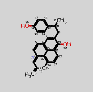 C=C/C=c1/ccc2cc(CC(C)c3ccc(O)cc3)c(O)c3ccc(C)c1c23